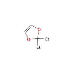 CCC1(CC)OC=CO1